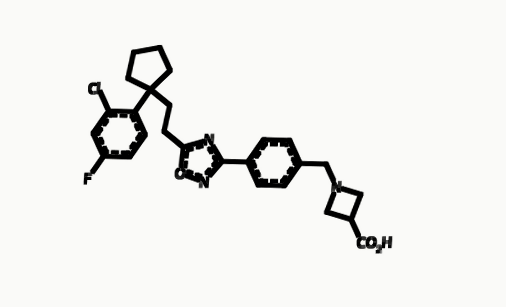 O=C(O)C1CN(Cc2ccc(-c3noc(CCC4(c5ccc(F)cc5Cl)CCCC4)n3)cc2)C1